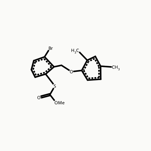 COC(=O)Sc1cccc(Br)c1COc1ccc(C)cc1C